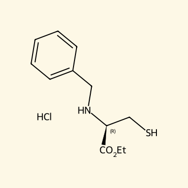 CCOC(=O)[C@H](CS)NCc1ccccc1.Cl